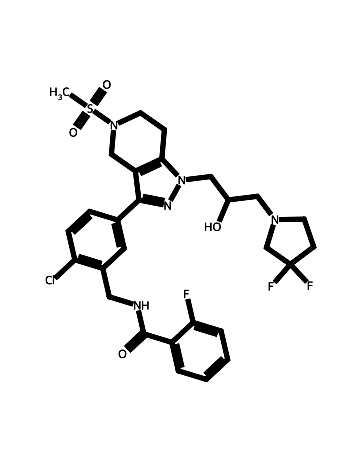 CS(=O)(=O)N1CCc2c(c(-c3ccc(Cl)c(CNC(=O)c4ccccc4F)c3)nn2CC(O)CN2CCC(F)(F)C2)C1